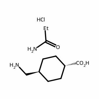 CCC(N)=O.Cl.NC[C@H]1CC[C@H](C(=O)O)CC1